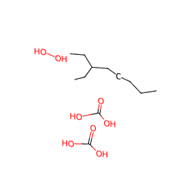 CCCCCC(CC)CC.O=C(O)O.O=C(O)O.OO